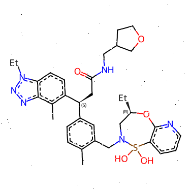 CC[C@@H]1CN(Cc2cc([C@H](CC(=O)NCC3CCOC3)c3ccc4c(nnn4CC)c3C)ccc2C)S(O)(O)c2cccnc2O1